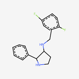 Fc1ccc(F)c(CNC2CCNC2c2ccccc2)c1